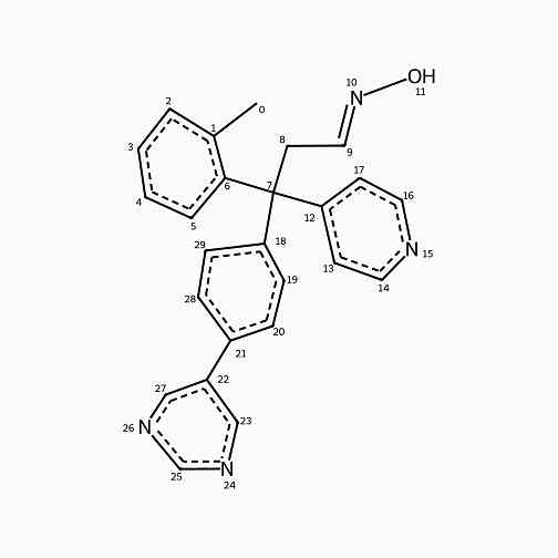 Cc1ccccc1C(C/C=N/O)(c1ccncc1)c1ccc(-c2cncnc2)cc1